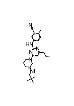 CCCc1cc(N2CCC[C@H](NCC(C)(C)C)C2)nc(Nc2ccc(C)c(C#N)c2)n1